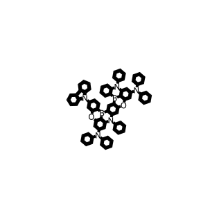 c1ccc(N(c2ccccc2)c2cc3c4c(c2)N(c2ccccc2)c2ccccc2B4c2cc4c(cc2O3)N(c2ccccc2)c2cc(N(c3ccccc3)c3ccccc3)cc3c2B4c2ccc(-n4c5ccccc5c5ccccc54)cc2O3)cc1